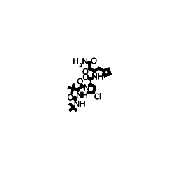 CC(C)(C)NC(=O)N[C@H](C(=O)N1C[C@H](Cl)C[C@H]1C(=O)NC(CC1CCC1)C(=O)C(N)=O)C(C)(C)C